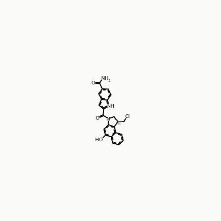 NC(=O)c1ccc2[nH]c(C(=O)N3C[C@@H](CCl)c4c3cc(O)c3ccccc43)cc2c1